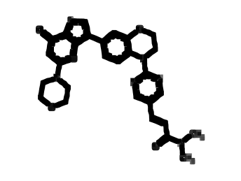 CN(C)C(=O)/C=C/c1cnc(N2CCOc3cc(-c4csc5c(=O)cc(N6CCOCC6)oc45)ccc32)nc1